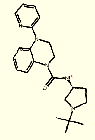 CC(C)(C)N1CC[C@H](NC(=O)N2CCN(c3ccccn3)c3ccccc32)C1